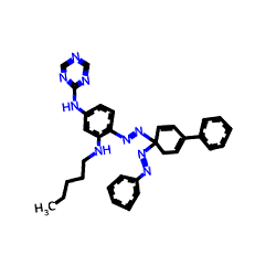 CCCCCNc1cc(Nc2ncncn2)ccc1N=NC1(N=Nc2ccccc2)C=CC(c2ccccc2)=CC1